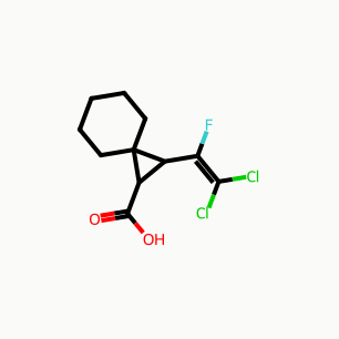 O=C(O)C1C(C(F)=C(Cl)Cl)C12CCCCC2